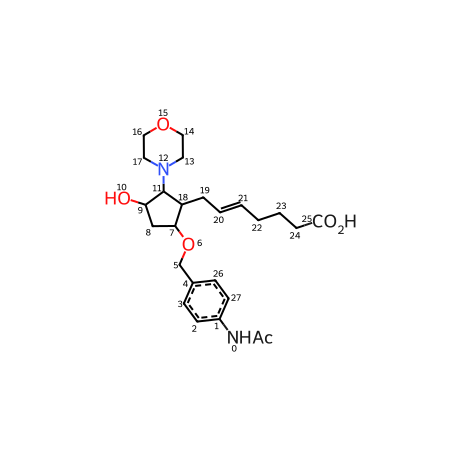 CC(=O)Nc1ccc(COC2CC(O)C(N3CCOCC3)C2CC=CCCCC(=O)O)cc1